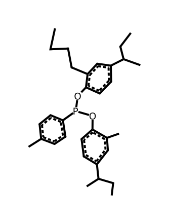 CCCCc1cc(C(C)CC)ccc1OP(Oc1ccc(C(C)CC)cc1C)c1ccc(C)cc1